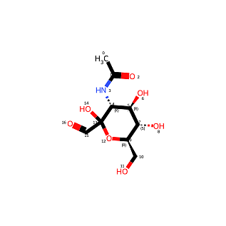 CC(=O)N[C@@H]1[C@@H](O)[C@H](O)[C@@H](CO)OC1(O)C=O